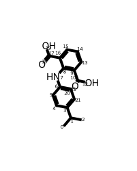 CC(C)c1ccc(Nc2c(C(=O)O)cccc2C(=O)O)cc1